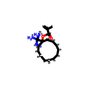 C=C(C)C(=O)OC1(C(N)(N)N)CCCCCCCCCCC1